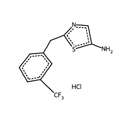 Cl.Nc1cnc(Cc2cccc(C(F)(F)F)c2)s1